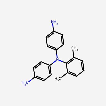 Cc1cccc(C)c1N(c1ccc(N)cc1)c1ccc(N)cc1